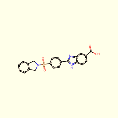 O=C(O)c1ccc2[nH]c(-c3ccc(S(=O)(=O)N4Cc5ccccc5C4)cc3)nc2c1